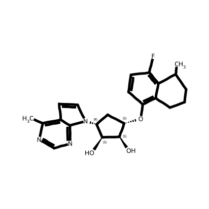 Cc1ncnc2c1ccn2[C@@H]1C[C@H](Oc2ccc(F)c3c2CCCC3C)[C@@H](O)[C@H]1O